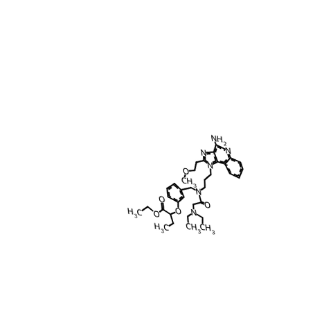 CCOC(=O)C(CC)Oc1cccc(CN(CCCn2c(CCOC)nc3c(N)nc4ccccc4c32)C(=O)CN(CC)CC)c1